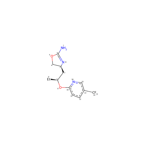 CC[C@@H](C[C@H]1COC(N)=N1)Oc1ccc(C(F)(F)F)cn1